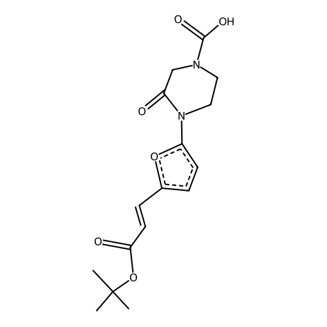 CC(C)(C)OC(=O)/C=C/c1ccc(N2CCN(C(=O)O)CC2=O)o1